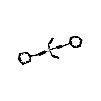 C=C[Si](C#Cc1ccccc1)(C#Cc1ccccc1)C=C